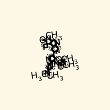 CN1C(=O)C2(CCC2)c2c1cnc1ccc(-c3cnc(N4CC(N(C)C)C4)c(NS(=O)(=O)N(C)C)c3)cc21